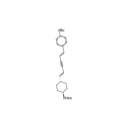 CCCCCC[C@H]1CC[C@H](/C=C/C#C/C=C/c2ccc(CCCC)cc2)CC1